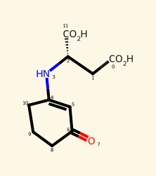 O=C(O)C[C@H](NC1=CC(=O)CCC1)C(=O)O